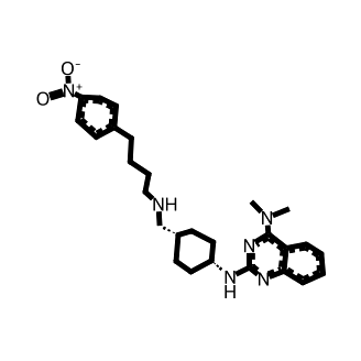 CN(C)c1nc(N[C@H]2CC[C@@H](CNCCCCc3ccc([N+](=O)[O-])cc3)CC2)nc2ccccc12